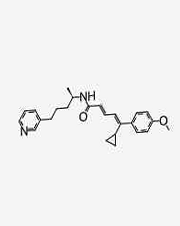 COc1ccc(/C(=C/C=C/C(=O)N[C@H](C)CCCc2cccnc2)C2CC2)cc1